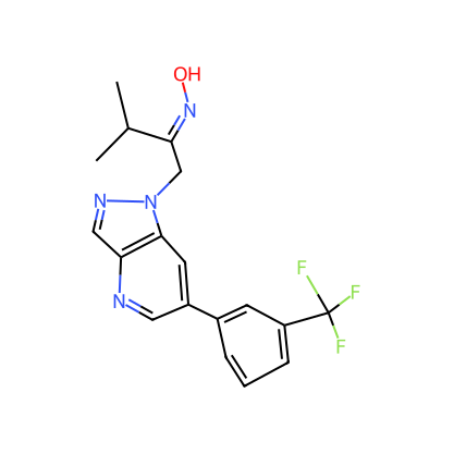 CC(C)/C(Cn1ncc2ncc(-c3cccc(C(F)(F)F)c3)cc21)=N\O